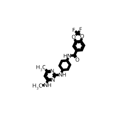 CNc1cc(C)nc(NC2CCC(NC(=O)c3ccc4c(c3)OC(F)(F)O4)CC2)n1